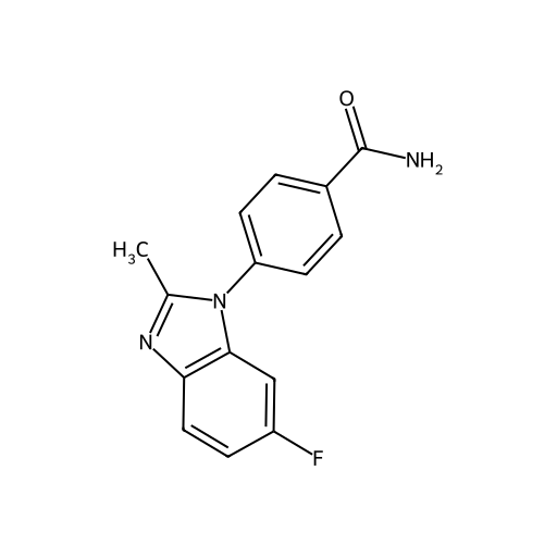 Cc1nc2ccc(F)cc2n1-c1ccc(C(N)=O)cc1